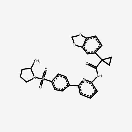 CC1CCCN1S(=O)(=O)c1ccc(-c2cccc(NC(=O)C3(c4ccc5c(c4)OCO5)CC3)n2)cc1